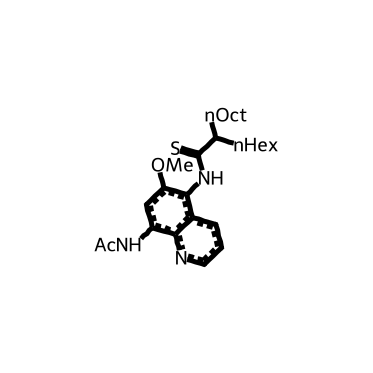 CCCCCCCCC(CCCCCC)C(=S)Nc1c(OC)cc(NC(C)=O)c2ncccc12